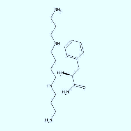 NC(=O)[C@@H](N)Cc1ccccc1.NCCCNCCCCNCCCN